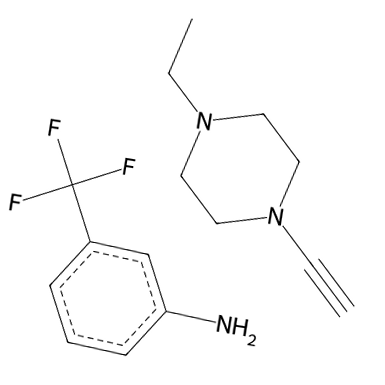 C#CN1CCN(CC)CC1.Nc1cccc(C(F)(F)F)c1